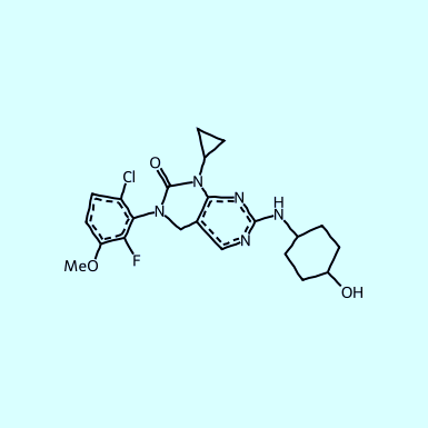 COc1ccc(Cl)c(N2Cc3cnc(NC4CCC(O)CC4)nc3N(C3CC3)C2=O)c1F